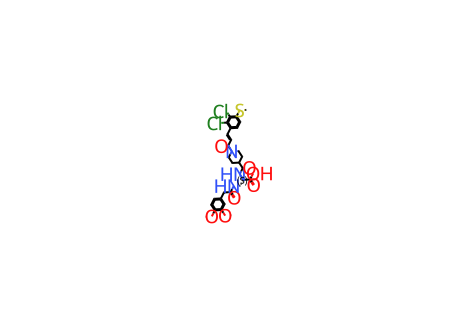 COc1ccc(CC(=O)NC[C@H](NC(=O)C2CCN(C(=O)C=Cc3ccc(SC)c(Cl)c3Cl)CC2)C(=O)O)cc1OC